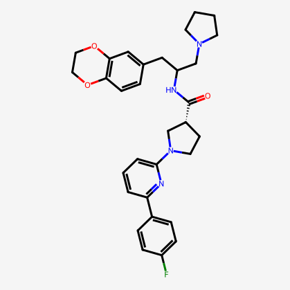 O=C(NC(Cc1ccc2c(c1)OCCO2)CN1CCCC1)[C@@H]1CCN(c2cccc(-c3ccc(F)cc3)n2)C1